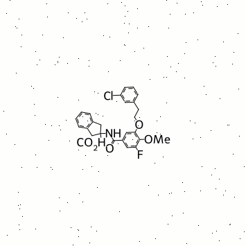 COc1c(F)cc(C(=O)NC2(C(=O)O)Cc3ccccc3C2)cc1OCCc1cccc(Cl)c1